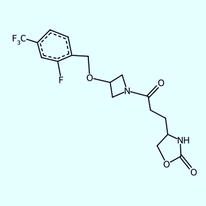 O=C1NC(CCC(=O)N2CC(OCc3ccc(C(F)(F)F)cc3F)C2)CO1